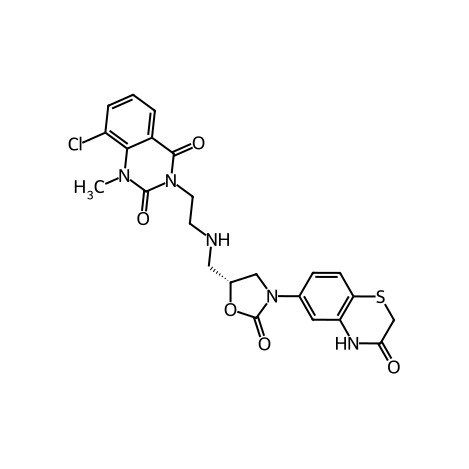 Cn1c(=O)n(CCNC[C@@H]2CN(c3ccc4c(c3)NC(=O)CS4)C(=O)O2)c(=O)c2cccc(Cl)c21